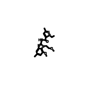 CCn1nc(C)cc1C(=O)Nc1nc2cc(C)cc(OC)c2n1CCOC